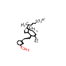 CCC1CC[C@@]2(C)C(CC[C@@H]2[C@H](C)CCCS(=O)(=O)O)C1CC[C@@H]1CCC[C@H](O)C1